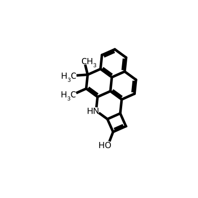 CC1=C2NC3C(O)=CC3c3ccc4cccc(c4c32)C1(C)C